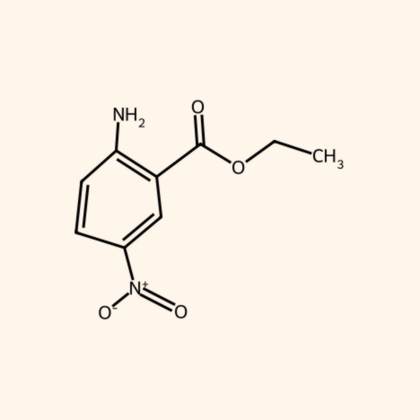 CCOC(=O)c1cc([N+](=O)[O-])ccc1N